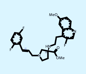 COC(=O)[C@]1(NCCc2c(F)cnc3ccc(OC)cc23)CCN(C/C=C/c2cc(F)ccc2F)C1